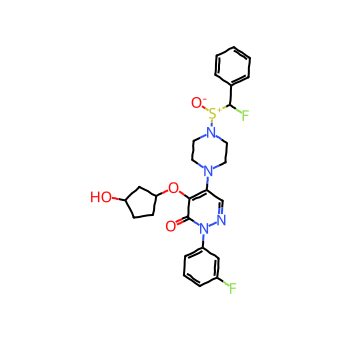 O=c1c(OC2CCC(O)C2)c(N2CCN([S+]([O-])C(F)c3ccccc3)CC2)cnn1-c1cccc(F)c1